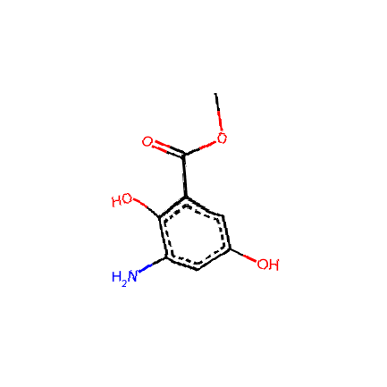 COC(=O)c1cc(O)cc(N)c1O